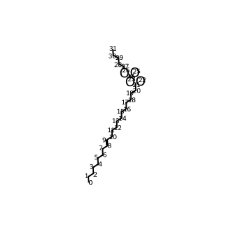 CCCCCCCCC=CCCCCCCCCCCCC(=O)OC(=O)OCCCCC